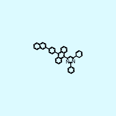 C1=CCC(c2cc(-c3c4ccccc4c(-c4ccc(-c5ccc6ccccc6c5)cc4)c4ccccc34)nc(-c3ccccc3)n2)C=C1